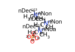 CCCCCCCCCCC[N+](C)(C)CCCCCCCCC.CCCCCCCCCCC[N+](C)(C)CCCCCCCCC.CCCCCCCCCCC[N+](C)(C)CCCCCCCCC.O=P([O-])([O-])[O-]